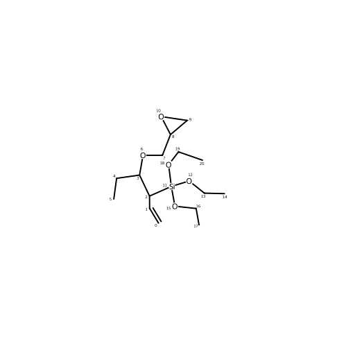 C=CC(C(CC)OCC1CO1)[Si](OCC)(OCC)OCC